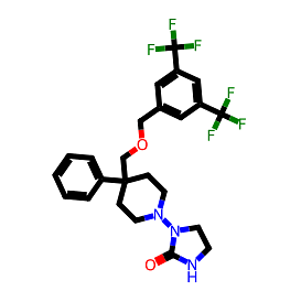 O=C1NCCN1N1CCC(COCc2cc(C(F)(F)F)cc(C(F)(F)F)c2)(c2ccccc2)CC1